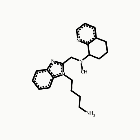 CN(Cc1nc2ccccc2n1CCCCN)C1CCCc2cccnc21